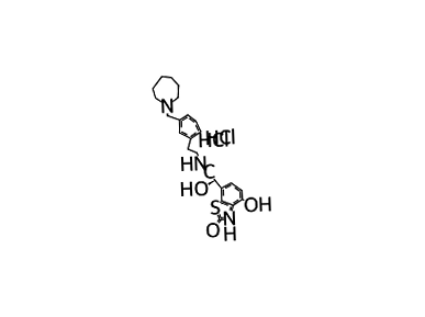 Cl.Cl.O=c1[nH]c2c(O)ccc([C@@H](O)CNCCc3cccc(CN4CCCCCC4)c3)c2s1